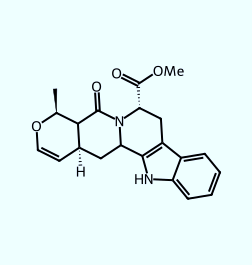 COC(=O)[C@@H]1Cc2c([nH]c3ccccc23)C2C[C@H]3C=CO[C@@H](C)C3C(=O)N21